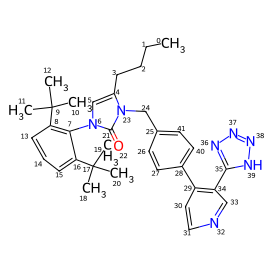 CCCCc1cn(-c2c(C(C)(C)C)cccc2C(C)(C)C)c(=O)n1Cc1ccc(-c2ccncc2-c2nnn[nH]2)cc1